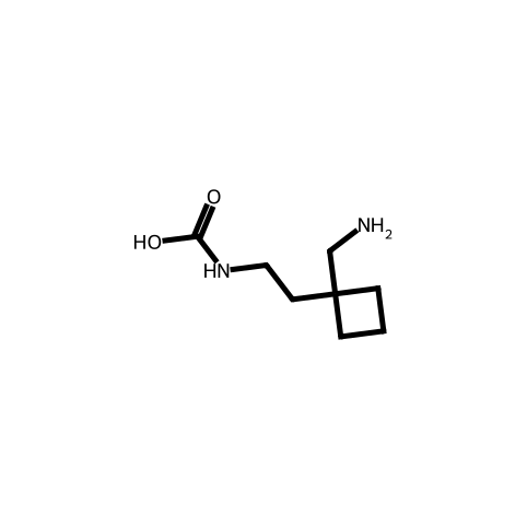 NCC1(CCNC(=O)O)CCC1